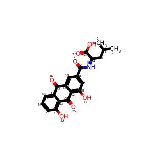 CC(C)CC(NC(=O)c1cc(O)c2c(c1)C(=O)c1cccc(O)c1C2=O)C(=O)O